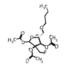 CCCCOC[C@H]1OC(OC(C)=O)C(CF)(OC(C)=O)C1OC(C)=O